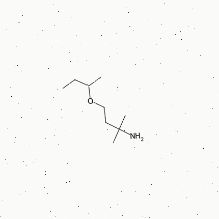 CCC(C)OCCC(C)(C)N